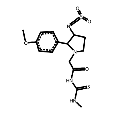 CNC(=S)NC(=O)CN1CCC(N=S(=O)=O)C1c1ccc(OC)cc1